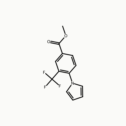 COC(=O)c1ccc(-n2cccc2)c(C(F)(F)F)c1